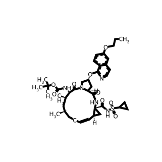 CCCOc1ccc2c(O[C@@H]3C[C@H]4C(=O)N[C@]5(C(=O)NS(=O)(=O)C6CC6)C[C@H]5/C=C\CC[C@@H](C)C[C@@H](C)[C@H](NC(=O)OC(C)(C)C)C(=O)N4C3)nccc2c1